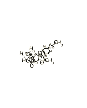 CSCc1ccc(N(C(C)=O)C2(C)CCN(C(=O)O)C(C(C)(C)C)C2)cc1